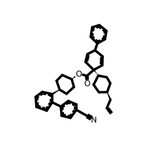 C=CC[C@H]1CC[C@H](C2(C(=O)O[C@H]3CC[C@H](c4ccccc4-c4ccc(C#N)cc4)CC3)C=CC(c3ccccc3)C=C2)CC1